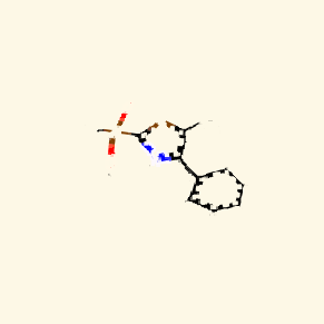 Cc1sc(S(C)(=O)=O)nc1-c1ccccc1